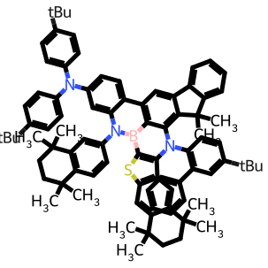 CC(C)(C)c1ccc(N(c2ccc(C(C)(C)C)cc2)c2ccc3c(c2)N(c2ccc4c(c2)C(C)(C)CCC4(C)C)B2c4sc5cc6c(cc5c4N(c4ccc(C(C)(C)C)cc4-c4ccccc4)c4c2c-3cc2c4C(C)(C)c3ccccc3-2)C(C)(C)CCC6(C)C)cc1